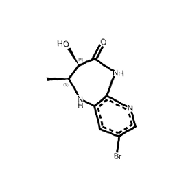 C[C@@H]1Nc2cc(Br)cnc2NC(=O)[C@@H]1O